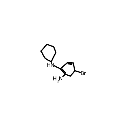 NC1=C(NC2CCCCC2)C=CC(Br)C1